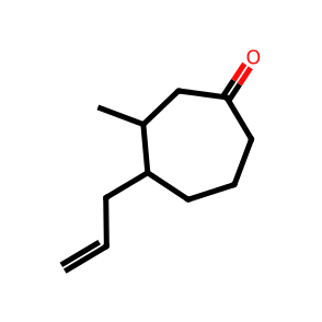 C=CCC1CCCC(=O)CC1C